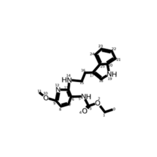 CCOC(=O)Nc1ccc(OC)nc1NCCc1c[nH]c2ccccc12